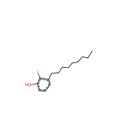 CCCCCCCCCc1cccc(O)c1I